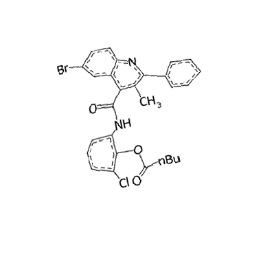 CCCCC(=O)Oc1c(Cl)cccc1NC(=O)c1c(C)c(-c2ccccc2)nc2ccc(Br)cc12